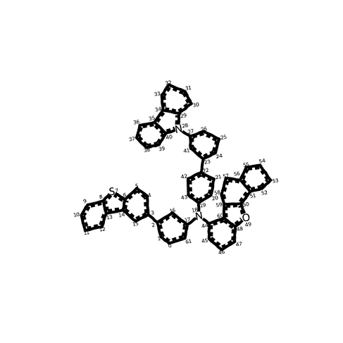 c1cc(-c2ccc3sc4ccccc4c3c2)cc(N(c2ccc(-c3cccc(-n4c5ccccc5c5ccccc54)c3)cc2)c2cccc3oc4c5ccccc5ccc4c23)c1